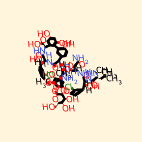 CN[C@H](CC(C)C)C(=O)N[C@H]1C(=O)N[C@@H](CC(N)=O)C(=O)N[C@H]2C(=O)N[C@H]3C(=O)N[C@H](C(=O)N[C@@H](C(=O)O)c4cc(O)cc(O)c4-c4cc3ccc4O)[C@H](O)c3ccc(c(Cl)c3)Oc3cc2cc(c3OC2O[C@@H](CO)[C@@H](O)[C@H](O)[C@@H]2O[C@@H]2C[C@](C)(N)[C@H](O)[C@@H](C)O2)Oc2ccc(cc2Cl)[C@H]1O